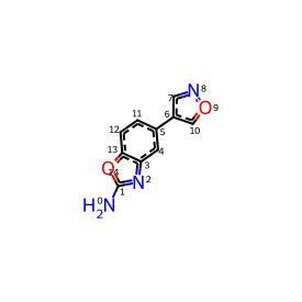 Nc1nc2cc(-c3cnoc3)ccc2o1